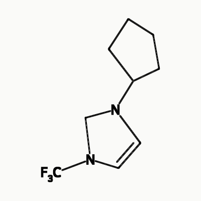 FC(F)(F)N1C=CN(C2CCCC2)C1